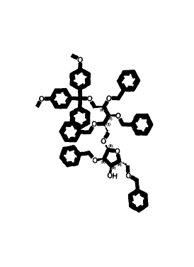 COc1ccc(C(OC[C@@H](OCc2ccccc2)[C@@H](OCc2ccccc2)[C@H](CO[C@@H]2O[C@H](COCc3ccccc3)[C@@H](O)[C@H]2OCc2ccccc2)OCc2ccccc2)(c2ccccc2)c2ccc(OC)cc2)cc1